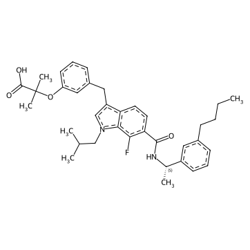 CCCCc1cccc([C@H](C)NC(=O)c2ccc3c(Cc4cccc(OC(C)(C)C(=O)O)c4)cn(CC(C)C)c3c2F)c1